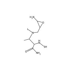 CC(C(NS)C(N)=O)N(I)CC1OC1N